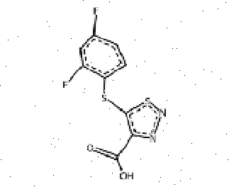 O=C(O)c1nnsc1Sc1ccc(F)cc1F